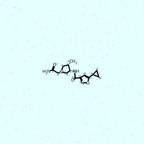 C[C@H]1CN(CC(N)=O)C[C@H]1NC(=O)c1cc(C2CC2)on1